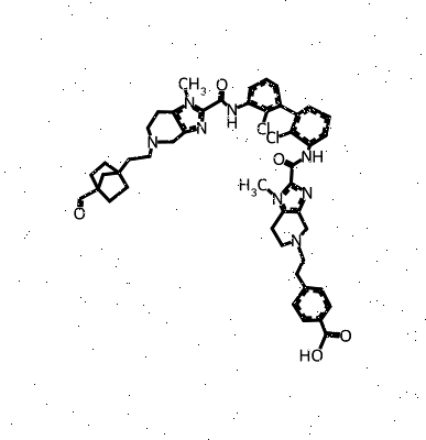 Cn1c(C(=O)Nc2cccc(-c3cccc(NC(=O)c4nc5c(n4C)CCN(CCC46CCC(C=O)(CC4)C6)C5)c3Cl)c2Cl)nc2c1CCN(CCc1ccc(C(=O)O)cc1)C2